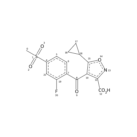 CS(=O)(=O)c1ccc(C(=O)c2c(C(=O)O)noc2C2CC2)c(F)c1